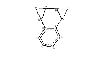 c1ccc2c(c1)C1CC1C1CC21